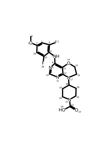 COc1cc(F)c(Nc2ncnc3c2OCCN3C2CCN(C(=O)O)CC2)c(F)c1